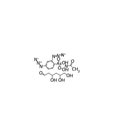 CC(=O)NO[As](=O)(OO)c1ccc(N=[N+]=[N-])cc1N=[N+]=[N-].O=CCC(O)CC(O)CO